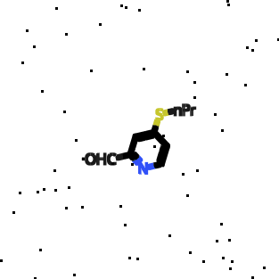 CCCSc1ccnc([C]=O)c1